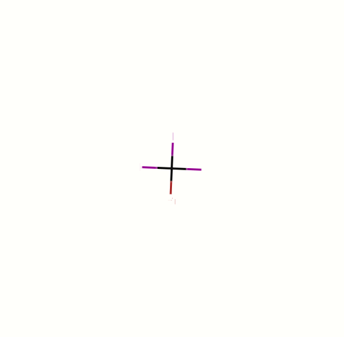 BrC(I)(I)I